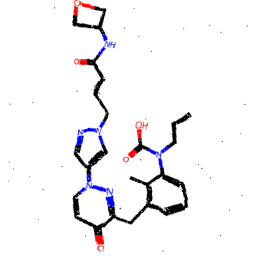 CCCN(C(=O)O)c1cccc(Cc2nn(-c3cnn(CCCC(=O)NC4COC4)c3)ccc2=O)c1C